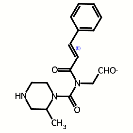 CC1CNCCN1C(=O)N(C[C]=O)C(=O)/C=C/c1ccccc1